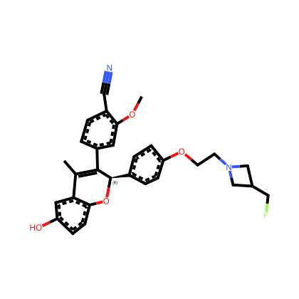 COc1cc(C2=C(C)c3cc(O)ccc3O[C@@H]2c2ccc(OCCN3CC(CF)C3)cc2)ccc1C#N